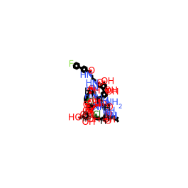 CN[C@H](CC(C)C)C(=O)N[C@H]1C(=O)N[C@@H](CC(N)=O)C(=O)NC2C(=O)N[C@H]3C(=O)N[C@H](C(=O)NC(C(=O)NCCCNC(=O)c4ccc(-c5ccc(F)cc5)cc4)c4cc(O)cc(O)c4-c4cc3ccc4O)[C@H](O)c3ccc(c(Cl)c3)Oc3cc2cc(c3O[C@@H]2O[C@H](CO)[C@@H](O)[C@H](O)[C@H]2OC2C[C@](C)(N)[C@H](O)[C@H](C)O2)Oc2ccc(cc2Cl)[C@H]1O